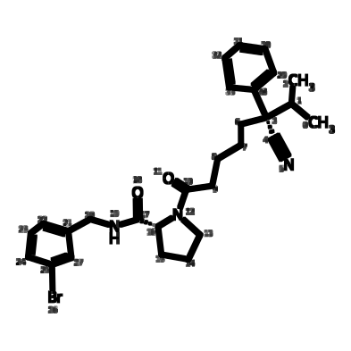 CC(C)[C@@](C#N)(CCCCC(=O)N1CCC[C@@H]1C(=O)NCc1cccc(Br)c1)c1ccccc1